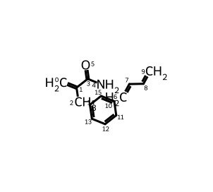 C=C(C)C(N)=O.C=CC=C.c1ccccc1